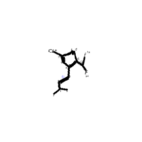 CC(C)/C=C/c1cc(Cl)ccc1C(F)F